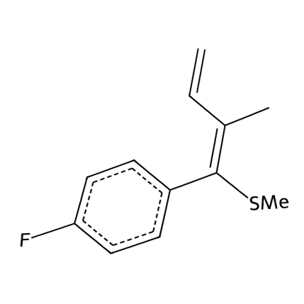 C=C/C(C)=C(/SC)c1ccc(F)cc1